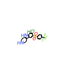 Cl.O=S(=O)(c1ccc(C(F)(F)F)cc1)c1ccc2[nH]c3c(c2c1)CCNCC3